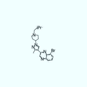 C[C](C)CN1CCC(n2cc(-c3cnc4cccc(Br)c4n3)c(C)n2)CC1